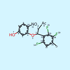 CC(=O)CC(Oc1cc(O)ccc1[N+](=O)[O-])c1c(F)cc(C)c(F)c1F